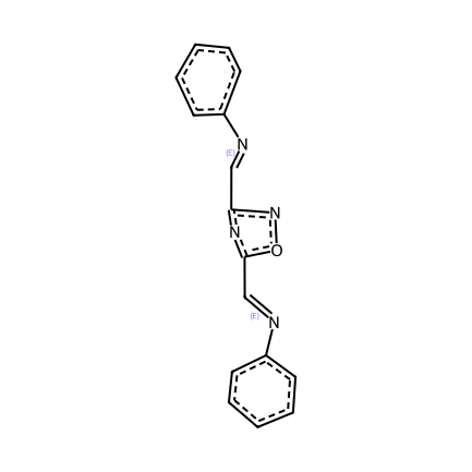 C(=N\c1ccccc1)/c1noc(/C=N/c2ccccc2)n1